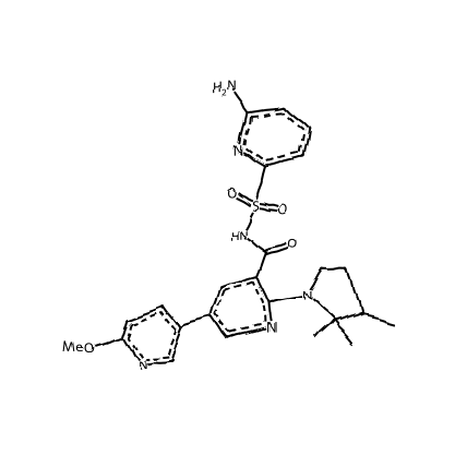 COc1ccc(-c2cnc(N3CCC(C)C3(C)C)c(C(=O)NS(=O)(=O)c3cccc(N)n3)c2)cn1